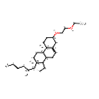 CC(C)CCC[C@@H](C)[C@H]1CCC2C3CC=C4CC(OCCOCC(=O)O)CC[C@]4(C)C3CC[C@@]21C